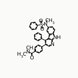 CN(C)C(=O)c1ccc(-c2cnc3[nH]c4ccc(N(C)S(=O)(=O)c5ccccc5)cc4c3c2-c2ccccc2)cc1